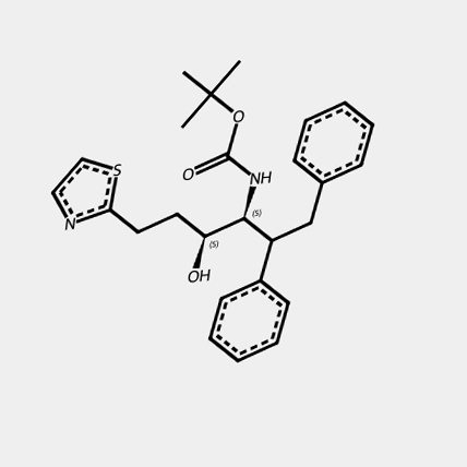 CC(C)(C)OC(=O)N[C@@H](C(Cc1ccccc1)c1ccccc1)[C@@H](O)CCc1nccs1